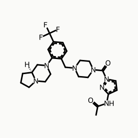 CC(=O)Nc1ccn(C(=O)N2CCN(Cc3ccc(C(F)(F)F)cc3N3CCN4CCC[C@H]4C3)CC2)n1